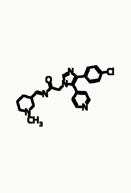 CN1CCCC(/C=N/C(=O)Cn2cnc(-c3ccc(Cl)cc3)c2-c2ccncc2)C1